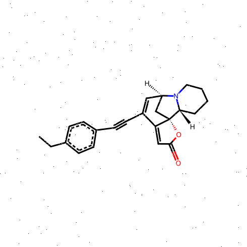 CCc1ccc(C#CC2=C[C@@H]3C[C@@]4(OC(=O)C=C24)[C@H]2CCCCN32)cc1